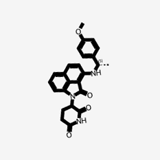 COc1ccc([C@H](C)Nc2ccc3cccc4c3c2C(=O)N4C2CCC(=O)NC2=O)cc1